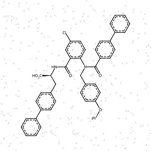 CC(C)Oc1ccc(CN(C(=O)c2ccc(-c3ccccc3)cc2)c2ccc(Cl)cc2C(=O)N[C@@H](Cc2ccc(-c3ccccc3)cc2)C(=O)O)cc1